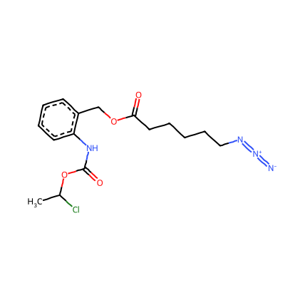 CC(Cl)OC(=O)Nc1ccccc1COC(=O)CCCCCN=[N+]=[N-]